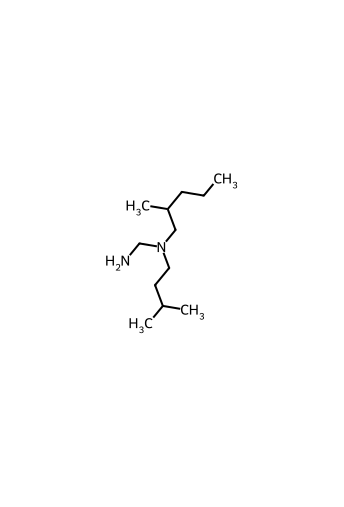 CCCC(C)CN(CN)CCC(C)C